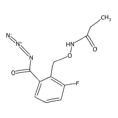 CCC(=O)NOCc1c(F)cccc1C(=O)N=[N+]=[N-]